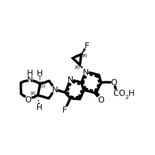 O=C(O)Oc1cn([C@@H]2C[C@H]2F)c2nc(N3C[C@@H]4NCCO[C@@H]4C3)c(F)cc2c1=O